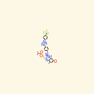 COc1cc(C)c(/N=C(\N/N=C/c2ccc(-c3ncn(-c4ccc(C(F)(F)F)cc4)n3)cc2)SCOC(=O)C(C)C)c(C)c1